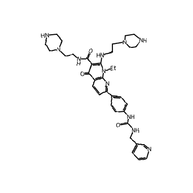 CCn1c(NCCN2CCNCC2)c(C(=O)NCCN2CCNCC2)c(=O)c2ccc(-c3ccc(NC(=O)NCc4cccnc4)cc3)nc21